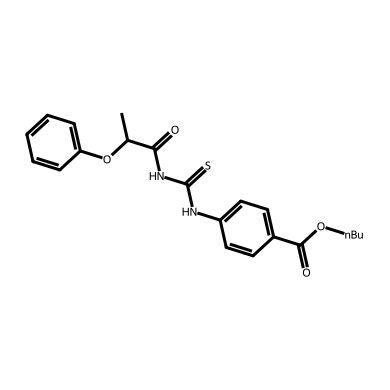 CCCCOC(=O)c1ccc(NC(=S)NC(=O)C(C)Oc2ccccc2)cc1